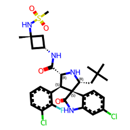 CC(C)(C)C[C@H]1N[C@@H](C(=O)N[C@H]2C[C@@](C)(NS(C)(=O)=O)C2)[C@H](c2cccc(Cl)c2F)[C@@]12C(=O)Nc1cc(Cl)ccc12